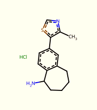 Cc1ncsc1-c1ccc2c(c1)CCCCC2N.Cl